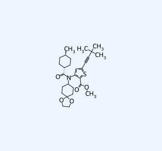 COC(=O)c1sc(C#CC(C)(C)C)cc1N(C(=O)[C@H]1CC[C@H](C)CC1)C1CCC2(CC1)OCCO2